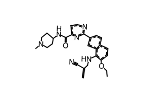 C=C(C#N)CNc1c(OCC)ccc2ccc(-c3nccc(C(=O)NC4CCN(C)CC4)n3)cc12